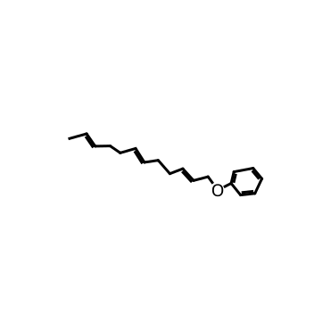 CC=CCCC=CCCC=CCOc1ccccc1